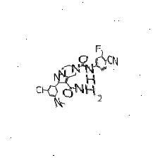 CN(C)c1cc(Cl)cc(-c2nn3c(c2C(N)=O)CN(C(=O)Nc2ccc(C#N)c(CF)c2)CC3)c1